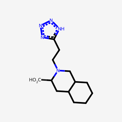 O=C(O)C1CC2CCCCC2CN1CCc1nnn[nH]1